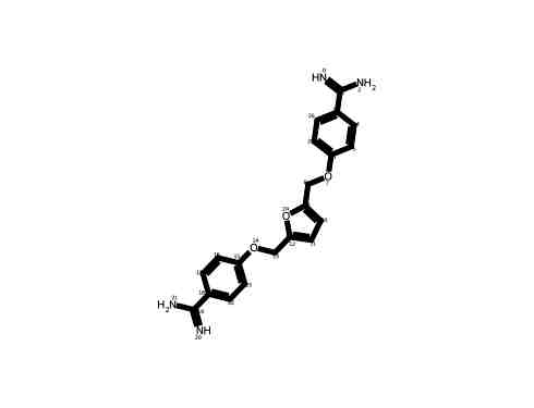 N=C(N)c1ccc(OCc2ccc(COc3ccc(C(=N)N)cc3)o2)cc1